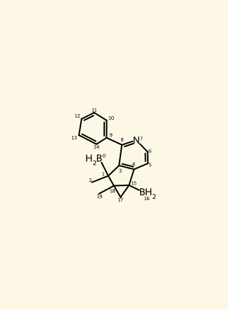 BC1(C)c2c(ccnc2-c2ccccc2)C2(B)CC12C